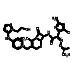 C[C@H](O/N=C(\C(=O)NC1C(=O)N2C(C(=O)O)=C(C[n+]3ccc(Nc4ccnn4CCO)cc3)CSC12)c1nc(N)sc1Cl)C(=O)O